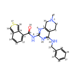 CN1CCc2c(nc(NC(=O)c3cccc4cscc34)nc2NCc2ccccc2)C1